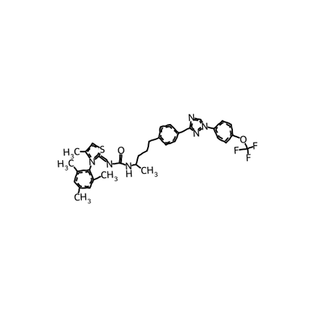 Cc1cc(C)c(-n2c(C)cs/c2=N\C(=O)NC(C)CCCc2ccc(-c3ncn(-c4ccc(OC(F)(F)F)cc4)n3)cc2)c(C)c1